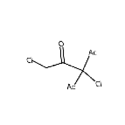 CC(=O)C(Cl)(C(C)=O)C(=O)CCl